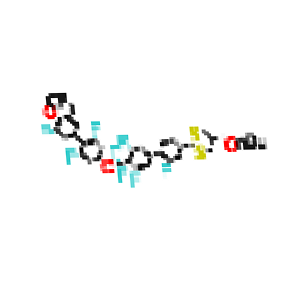 CCCCOCC1CSC(c2ccc(-c3cc(F)c(C(F)(F)Oc4cc(F)c(-c5ccc(OC(F)(F)F)c(F)c5)c(F)c4)c(F)c3)c(F)c2)SC1